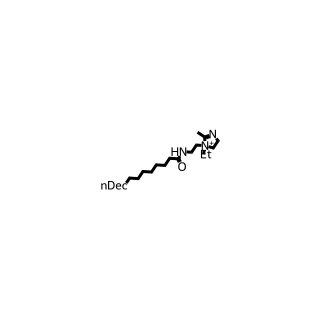 CCCCCCCCCCCCCCCCCC(=O)NCC[N+]1(CC)CCN=C1C